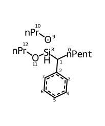 CCCCCC(c1ccccc1)[SiH](OCCC)OCCC